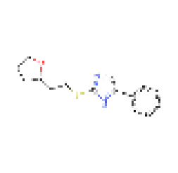 [CH](CC1CCCO1)Sc1ncc(-c2ccccc2)[nH]1